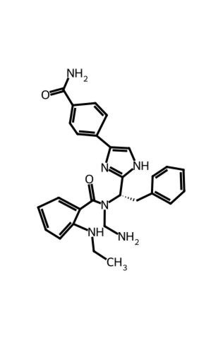 CCNc1ccccc1C(=O)N(CN)[C@@H](Cc1ccccc1)c1nc(-c2ccc(C(N)=O)cc2)c[nH]1